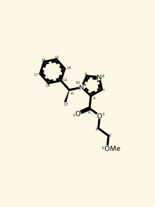 COCCOC(=O)c1cncn1[C@@H](C)c1ccccc1